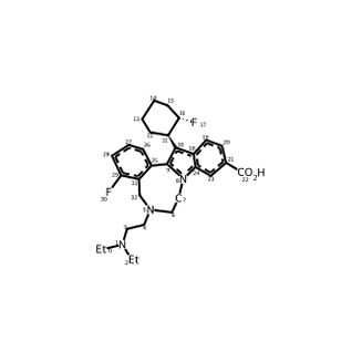 CCN(CC)CCN1CCn2c(c([C@H]3CCCC[C@@H]3F)c3ccc(C(=O)O)cc32)-c2cccc(F)c2C1